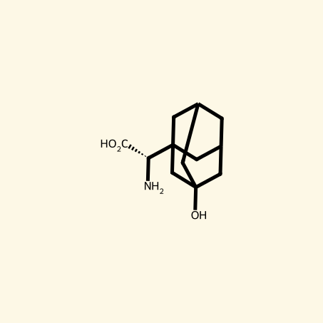 N[C@H](C(=O)O)C12CC3CC(CC(O)(C3)C1)C2